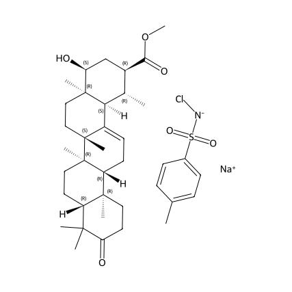 COC(=O)[C@@H]1C[C@H](O)[C@]2(C)CC[C@]3(C)C(=CC[C@@H]4[C@@]5(C)CCC(=O)C(C)(C)[C@@H]5CC[C@]43C)[C@@H]2[C@H]1C.Cc1ccc(S(=O)(=O)[N-]Cl)cc1.[Na+]